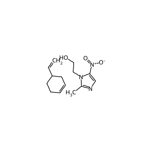 C=CC1CC=CCC1.Cc1ncc([N+](=O)[O-])n1CCO